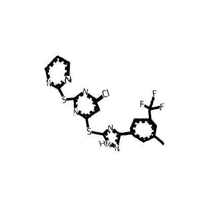 Cc1cc(-c2n[nH]c(Sc3cc(Cl)nc(Sc4ncccn4)n3)n2)cc(C(F)(F)F)c1